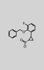 O=[N+]([O-])C1CC1c1cccc(F)c1OCc1ccccc1